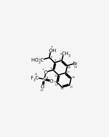 Cc1c(C(O)C(=O)O)c(OS(=O)(=O)C(F)(F)F)c2ccccc2c1Br